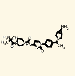 CC(c1ccc(-n2ccc(NC(=O)N3CCN(C(=O)C(C)(C)N)CC3)nc2=O)cc1)N1CC2C(N)C2C1